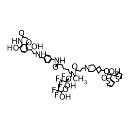 CN(CCCCC(=O)Nc1ccc(CNC[C@H](O)c2ccc(O)c3c2OCC(=O)N3)cc1)C(=O)CCN1CCC2(CC1)CC(OC(=O)C(O)(c1cccs1)c1cccs1)C2.O=C(O)C(F)(F)F.O=C(O)C(F)(F)F